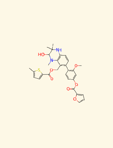 COc1cc(OC(=O)c2ccco2)ccc1-c1ccc2c(c1COC(=O)c1ccc(C)s1)N(C)C(O)C(C)(C)N2